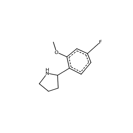 COc1cc(F)ccc1C1CCCN1